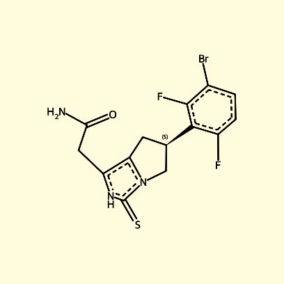 NC(=O)Cc1[nH]c(=S)n2c1C[C@@H](c1c(F)ccc(Br)c1F)C2